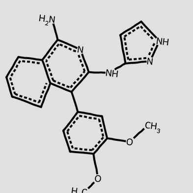 COc1ccc(-c2c(Nc3cc[nH]n3)nc(N)c3ccccc23)cc1OC